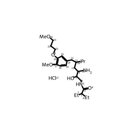 CCC(CC)C(=O)NCC(O)C(N)CC(Cc1ccc(OC)c(OCCCOC)c1)C(C)C.Cl